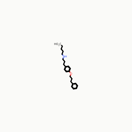 O=C(O)CCCCNCCCc1ccc(OCCCc2ccccc2)cc1